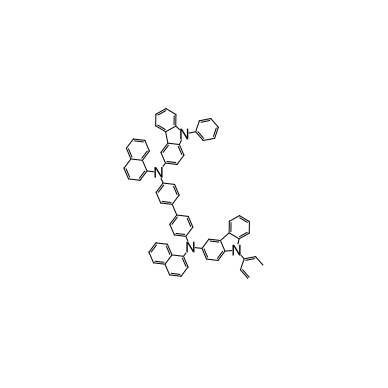 C=C/C(=C\C)n1c2ccccc2c2cc(N(c3ccc(-c4ccc(N(c5ccc6c(c5)c5ccccc5n6-c5ccccc5)c5cccc6ccccc56)cc4)cc3)c3cccc4ccccc34)ccc21